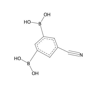 N#Cc1cc(B(O)O)cc(B(O)O)c1